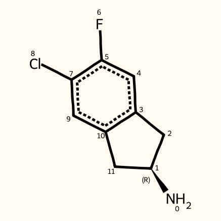 N[C@@H]1Cc2cc(F)c(Cl)cc2C1